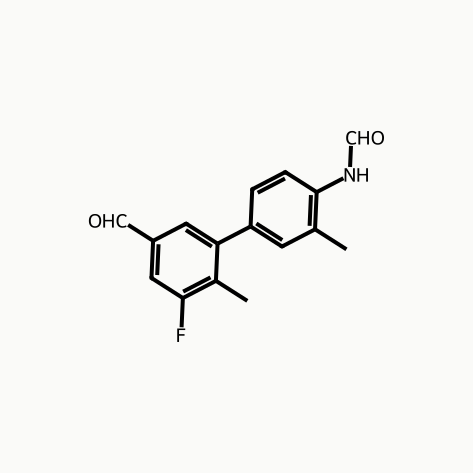 Cc1cc(-c2cc(C=O)cc(F)c2C)ccc1NC=O